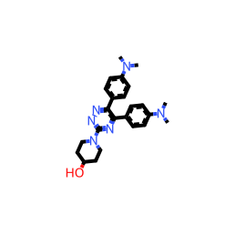 CN(C)c1ccc(-c2nnc(N3CCC(O)CC3)nc2-c2ccc(N(C)C)cc2)cc1